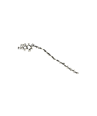 C#CC#CC#CC#CC#CC#CC#CC#CC#CC#CC#COc1ccc(CO)c(O)c1